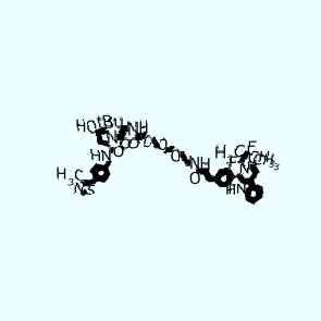 Cc1ncsc1-c1ccc(CNC(=O)[C@@H]2C[C@@H](O)CN2C(=O)[C@@H](NC(=O)COCCOCCOCCNC(=O)/C=C/c2cc(F)c([C@@H]3c4[nH]c5ccccc5c4C[C@@H](C)N3CC(C)(C)F)c(F)c2)C(C)(C)C)cc1